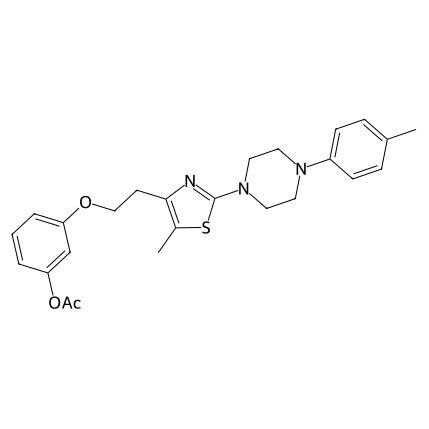 CC(=O)Oc1cccc(OCCc2nc(N3CCN(c4ccc(C)cc4)CC3)sc2C)c1